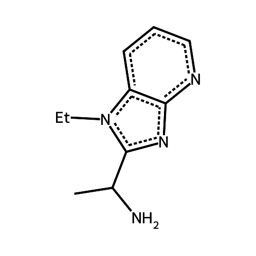 CCn1c(C(C)N)nc2ncccc21